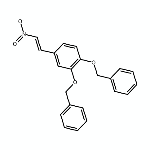 O=[N+]([O-])C=Cc1ccc(OCc2ccccc2)c(OCc2ccccc2)c1